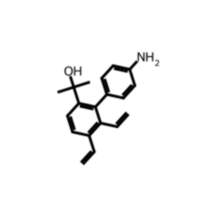 C=Cc1ccc(C(C)(C)O)c(-c2ccc(N)cc2)c1C=C